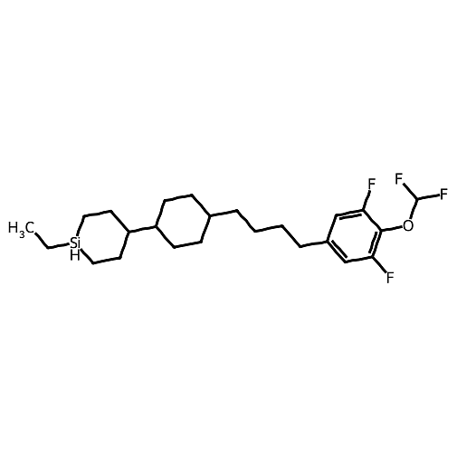 CC[SiH]1CCC(C2CCC(CCCCc3cc(F)c(OC(F)F)c(F)c3)CC2)CC1